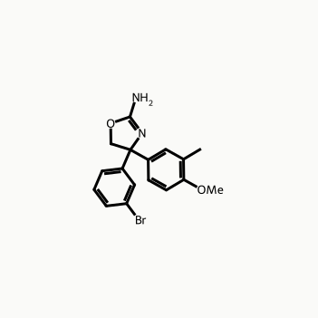 COc1ccc(C2(c3cccc(Br)c3)COC(N)=N2)cc1C